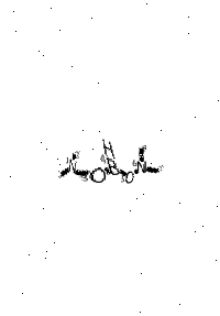 CN(C)OBON(C)C